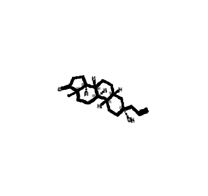 C=CC[C@@]1(O)CC[C@H]2[C@H](CC[C@@H]3[C@@H]2CC[C@]2(C)C(=O)CC[C@@H]32)C1